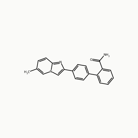 Cc1ccc2nc(-c3ccc(-c4ccccc4C(N)=O)cc3)cn2c1